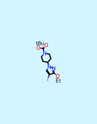 CCOc1nn(C2CCN(C(=O)OC(C)(C)C)CC2)cc1I